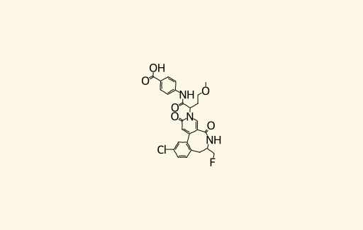 COCCC(C(=O)Nc1ccc(C(=O)O)cc1)n1cc2c(cc1=O)-c1cc(Cl)ccc1CC(CF)NC2=O